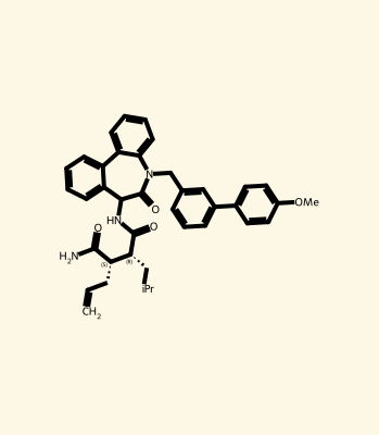 C=CC[C@H](C(N)=O)[C@@H](CC(C)C)C(=O)NC1C(=O)N(Cc2cccc(-c3ccc(OC)cc3)c2)c2ccccc2-c2ccccc21